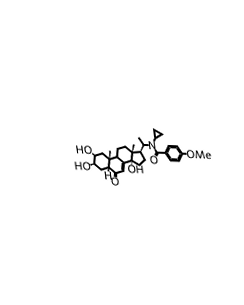 COc1ccc(C(=O)N(C2CC2)C(C)[C@H]2CC[C@@]3(O)C4=CC(=O)[C@@H]5C[C@@H](O)[C@@H](O)C[C@]5(C)C4CC[C@]23C)cc1